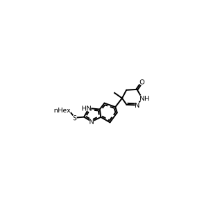 CCCCCCSc1nc2ccc(C3(C)C=NNC(=O)C3)cc2[nH]1